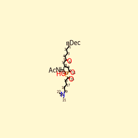 CCCCCCCCCCCCCCC(=O)CC(CC(=O)P(O)C(=O)CCCCN(C)C)NC(C)=O